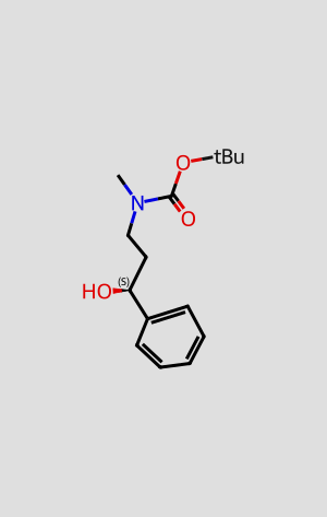 CN(CC[C@H](O)c1ccccc1)C(=O)OC(C)(C)C